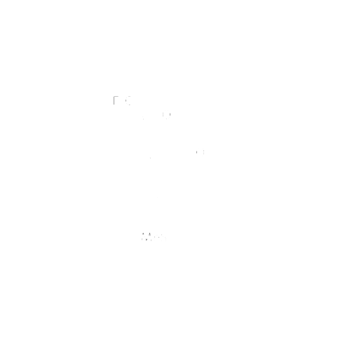 CSc1cc2c(c(C(C)(C)CC(=O)C(F)(F)F)c1)OCC2